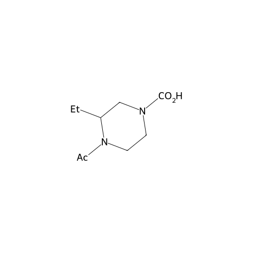 CCC1CN(C(=O)O)CCN1C(C)=O